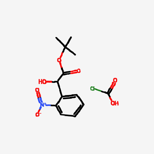 CC(C)(C)OC(=O)C(O)c1ccccc1[N+](=O)[O-].O=C(O)Cl